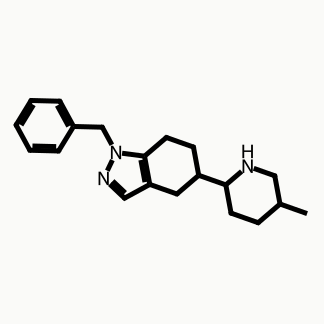 CC1CCC(C2CCc3c(cnn3Cc3ccccc3)C2)NC1